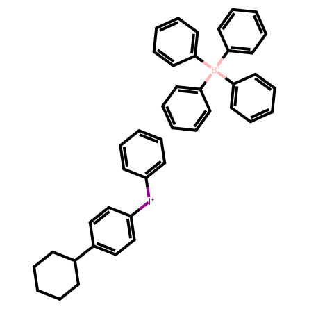 c1ccc([B-](c2ccccc2)(c2ccccc2)c2ccccc2)cc1.c1ccc([I+]c2ccc(C3CCCCC3)cc2)cc1